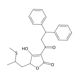 CSC(C)CC1OC(=O)C(C(=O)CC(c2ccccc2)c2ccccc2)=C1O